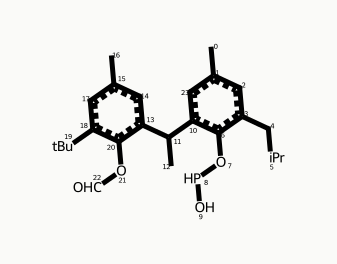 Cc1cc(CC(C)C)c(OPO)c(C(C)c2cc(C)cc(C(C)(C)C)c2OC=O)c1